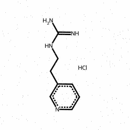 Cl.N=C(N)NCCc1cccnc1